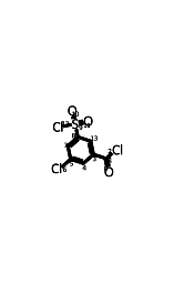 O=C(Cl)c1cc(Cl)cc(S(=O)(=O)Cl)c1